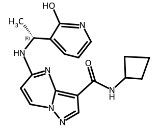 C[C@@H](Nc1ccn2ncc(C(=O)NC3CCC3)c2n1)c1cccnc1O